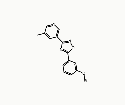 CCOc1cccc(-c2nc(-c3cncc(C)c3)no2)c1